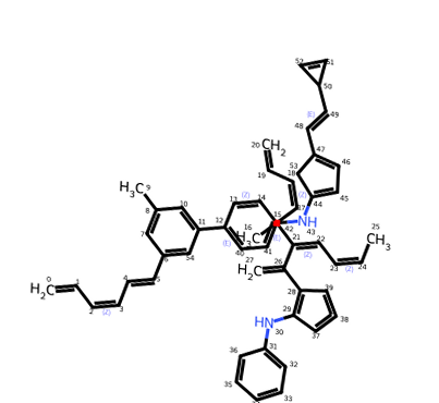 C=C/C=C\C=Cc1cc(C)cc(C(/C=C\C(C)(/C=C\C=C)/C(=C/C=C\C)C(=C)C2=C(Nc3ccccc3)C=C=C2)=C/C=C/NC2=CC=C(/C=C/C3C=C3)C2)c1